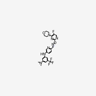 CN(C)c1cc(Nc2ccc(/C=N/Oc3ncc(F)c(N4CCOCC4)n3)nc2)cc(C(F)(F)F)c1